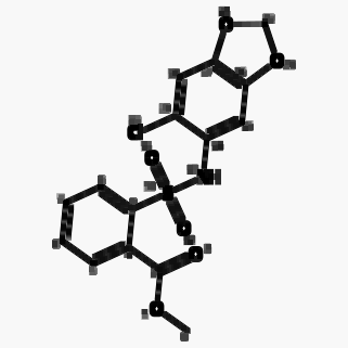 COC(=O)c1ccccc1S(=O)(=O)Nc1cc2c(cc1Cl)OCO2